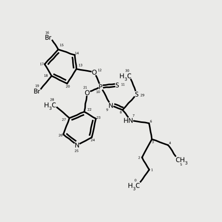 CCCC(CC)CNC(=NP(=S)(Oc1cc(Br)cc(Br)c1)Oc1ccncc1C)SC